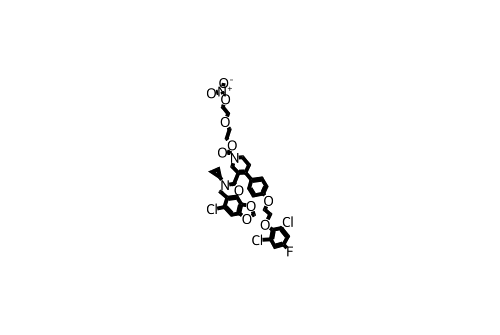 O=C(OCCOCCO[N+](=O)[O-])N1CCC(c2ccc(OCCOc3c(Cl)cc(F)cc3Cl)cc2)=C(C(=O)N(Cc2cc3c(cc2Cl)OCO3)C2CC2)C1